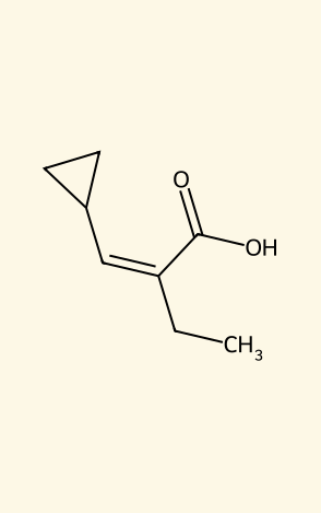 CC/C(=C/C1CC1)C(=O)O